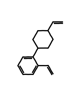 C=Cc1ccccc1C1CCC(C=C)CC1